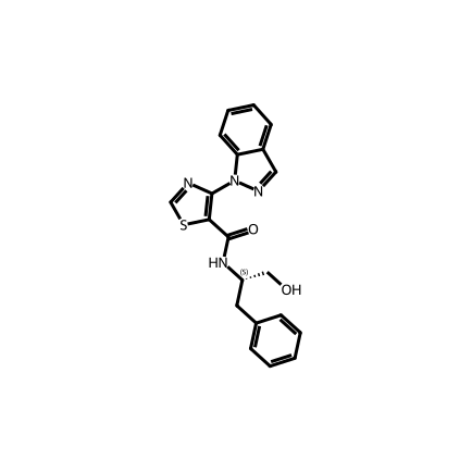 O=C(N[C@H](CO)Cc1ccccc1)c1scnc1-n1ncc2ccccc21